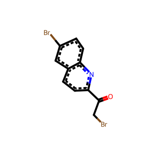 O=C(CBr)c1ccc2cc(Br)ccc2n1